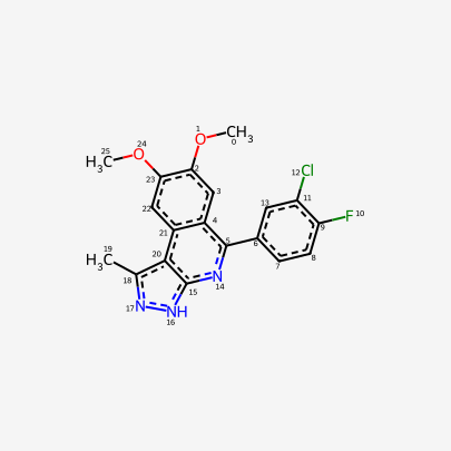 COc1cc2c(-c3ccc(F)c(Cl)c3)nc3[nH]nc(C)c3c2cc1OC